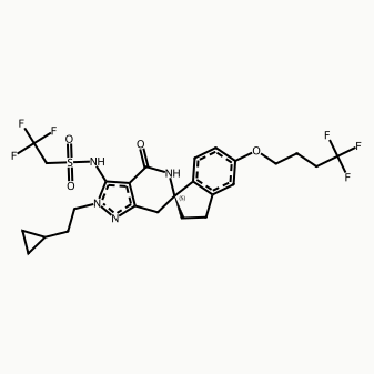 O=C1N[C@@]2(CCc3cc(OCCCC(F)(F)F)ccc32)Cc2nn(CCC3CC3)c(NS(=O)(=O)CC(F)(F)F)c21